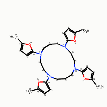 O=C(O)c1ccc(N2CCCN(c3ccc(C(=O)O)o3)CCN(c3ccc(C(=O)O)o3)CCCN(c3ccc(C(=O)O)o3)CC2)o1